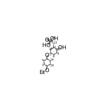 CCOc1ccc(Oc2ccc(O)c(CP(=O)(O)O)c2)cc1